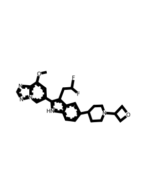 COc1cc(-c2[nH]c3ccc(C4CCN(C5COC5)CC4)cc3c2CC(F)F)cn2ncnc12